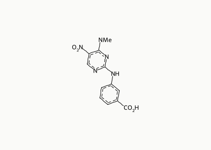 CNc1nc(Nc2cccc(C(=O)O)c2)ncc1[N+](=O)[O-]